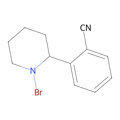 N#Cc1ccccc1C1CCCCN1Br